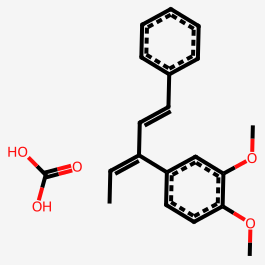 CC=C(C=Cc1ccccc1)c1ccc(OC)c(OC)c1.O=C(O)O